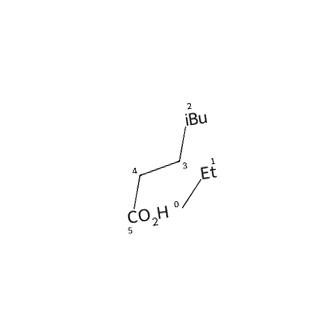 CCC.CCC(C)CCC(=O)O